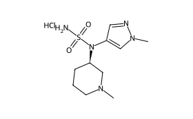 CN1CCC[C@@H](N(c2cnn(C)c2)S(N)(=O)=O)C1.Cl